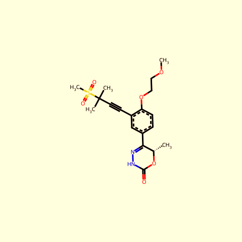 COCCOc1ccc(C2=NNC(=O)O[C@H]2C)cc1C#CC(C)(C)S(C)(=O)=O